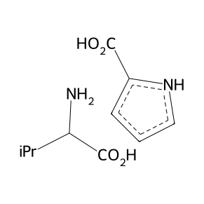 CC(C)C(N)C(=O)O.O=C(O)c1ccc[nH]1